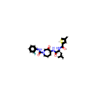 Cc1csc(C(=O)N[C@@H](CC(C)C)C(=O)NC2CCCN(C(=O)Nc3ccccc3F)CC2=O)c1